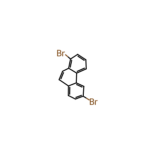 Brc1ccc2ccc3c(Br)cccc3c2c1